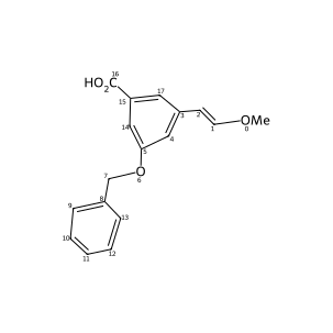 COC=Cc1cc(OCc2ccccc2)cc(C(=O)O)c1